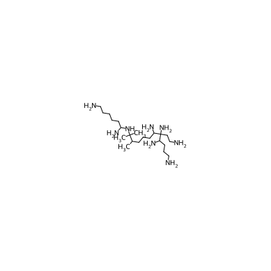 CC(CCCC(N)C(N)(CCN)C(N)CCCN)C(C)(C)NC(N)CCCCCN